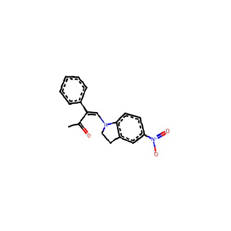 CC(=O)/C(=C\N1CCc2cc([N+](=O)[O-])ccc21)c1ccccc1